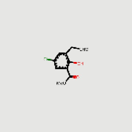 COC(=O)c1cc(Cl)cc(CC=O)c1O